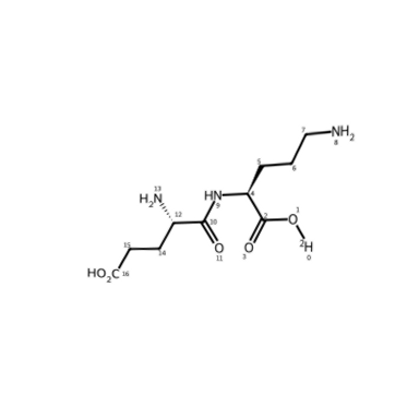 [2H]OC(=O)[C@H](CCCN)NC(=O)[C@@H](N)CCC(=O)O